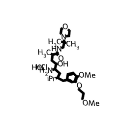 COCCCOc1cc(CC(CC(N)C(O)CC(C)C(=O)NCC(C)(C)N2CCOCC2)C(C)C)ccc1OC.Cl.Cl